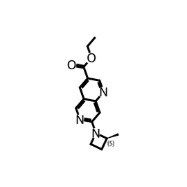 CCOC(=O)c1cnc2cc(N3CC[C@@H]3C)ncc2c1